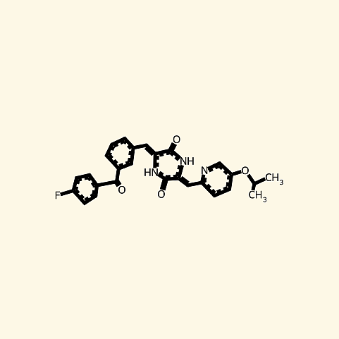 CC(C)Oc1ccc(C=c2[nH]c(=O)c(=Cc3cccc(C(=O)c4ccc(F)cc4)c3)[nH]c2=O)nc1